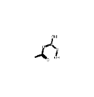 CC(=O)OB(O)OO